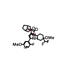 COc1cc(-c2cc(C(=O)N3C4CCC3CC(C(=O)NC3CCC(OC)(C(F)F)CC3)C4)n[nH]2)c(F)cn1